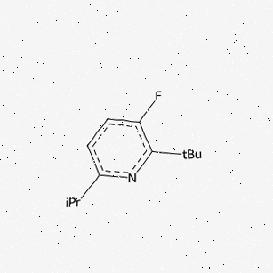 CC(C)c1ccc(F)c(C(C)(C)C)n1